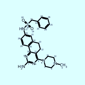 CN1CCN(c2nc(N)nc3c2CCc2cc(NS(=O)(=O)Cc4ccccc4)ccc2-3)CC1